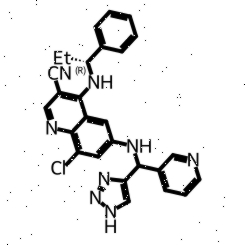 CC[C@@H](Nc1c(C#N)cnc2c(Cl)cc(NC(c3cccnc3)c3c[nH]nn3)cc12)c1ccccc1